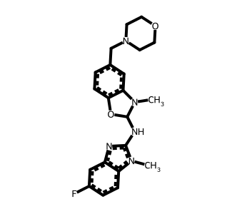 CN1c2cc(CN3CCOCC3)ccc2OC1Nc1nc2cc(F)ccc2n1C